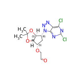 CC1(C)O[C@@H]2[C@H](O1)[C@@H](OCC=O)C[C@H]2n1nnc2c(Cl)nc(Cl)nc21